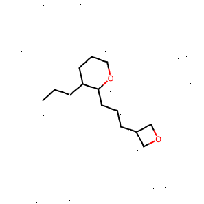 CCCC1CCCOC1CCCC1COC1